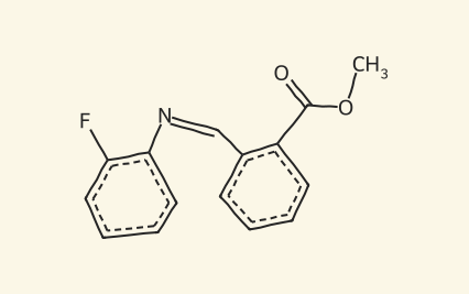 COC(=O)c1ccccc1/C=N\c1ccccc1F